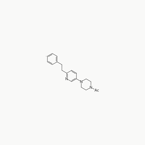 CC(=O)N1CCN(c2ccc(CCc3cc[c]cc3)nc2)CC1